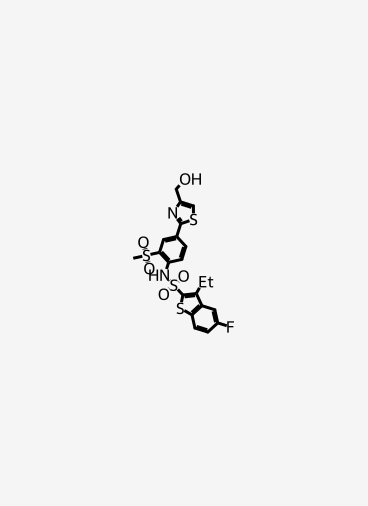 CCc1c(S(=O)(=O)Nc2ccc(-c3nc(CO)cs3)cc2S(C)(=O)=O)sc2ccc(F)cc12